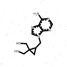 Nc1ncnc2c1ncn2CC1CC1(CO)CO